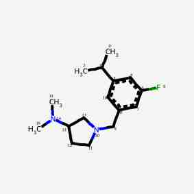 CC(C)c1cc(F)cc(CN2CCC(N(C)C)C2)c1